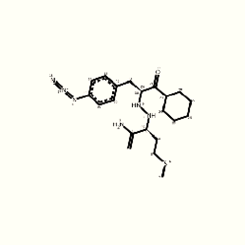 C=C(N)[C@H](CCSC)NN[C@@H](Cc1ccc(N=[N+]=[N-])cc1)C(=O)C1CCCCC1